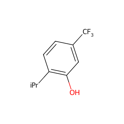 CC(C)c1ccc(C(F)(F)F)cc1O